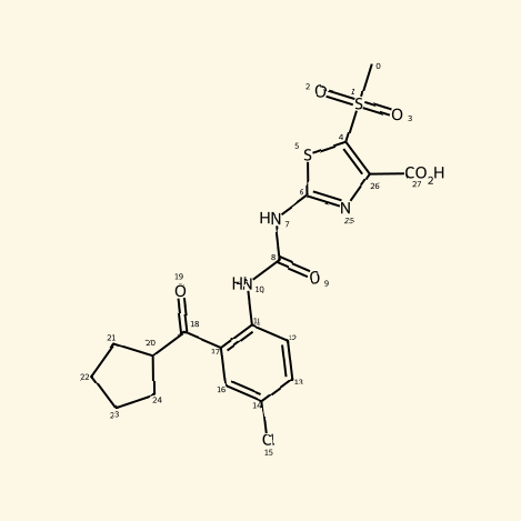 CS(=O)(=O)c1sc(NC(=O)Nc2ccc(Cl)cc2C(=O)C2CCCC2)nc1C(=O)O